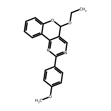 CCOC1Oc2ccccc2-c2nc(-c3ccc(OC)cc3)ncc21